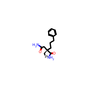 CC(C)C[C@](CCCc1ccccc1)(CC(N)=O)C(N)=O